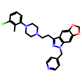 Cc1c(Cl)cccc1N1CCN(CCc2nn(Cc3ccncc3)c3cc4c(cc23)OCO4)CC1